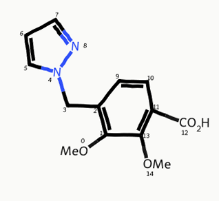 COc1c(Cn2cccn2)ccc(C(=O)O)c1OC